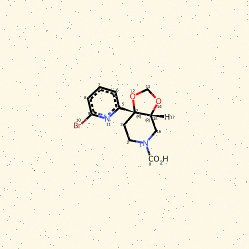 O=C(O)N1CC[C@]2(c3cccc(Br)n3)OCO[C@@H]2C1